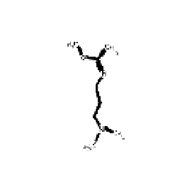 CO/C(C)=N\CCCN(C)C